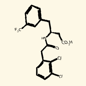 O=C(O)C[C@H](Cc1cccc(C(F)(F)F)c1)NC(=O)Cc1cccc(Cl)c1Cl